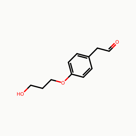 O=CCc1ccc(OCCCO)cc1